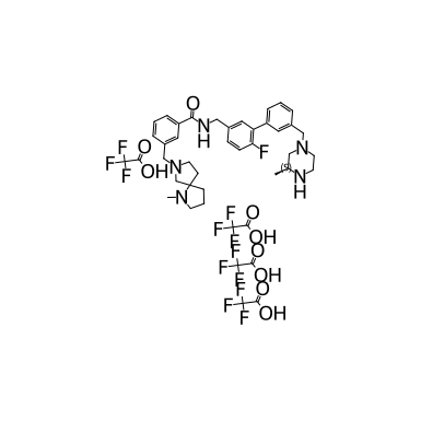 C[C@H]1CN(Cc2cccc(-c3cc(CNC(=O)c4cccc(CN5CCC6(CCCN6C)C5)c4)ccc3F)c2)CCN1.O=C(O)C(F)(F)F.O=C(O)C(F)(F)F.O=C(O)C(F)(F)F.O=C(O)C(F)(F)F